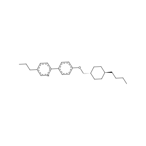 CCCC[C@H]1CC[C@H](COc2ccc(-c3ccc(CCC)cn3)cc2)CC1